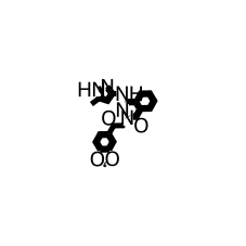 Cc1cc(Nc2nn(CC(=O)c3ccc4c(c3)OCO4)c(=O)c3ccccc23)n[nH]1